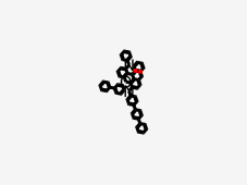 c1ccc(-c2ccc(-c3ccc(N(c4ccc(-c5ccccc5)cc4)c4ccc5cccc6c5c4Oc4cccc(N(c5ccccc5)c5ccccc5)c4-6)cc3)cc2)cc1